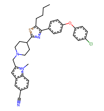 CCCCc1sc(C2CCN(Cc3cc4cc(C#N)ccc4n3C)CC2)nc1-c1ccc(Oc2ccc(Cl)cc2)cc1